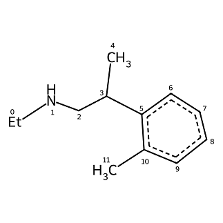 CCNCC(C)c1ccccc1C